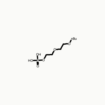 CCCCOCCOCCOP(=O)(O)O